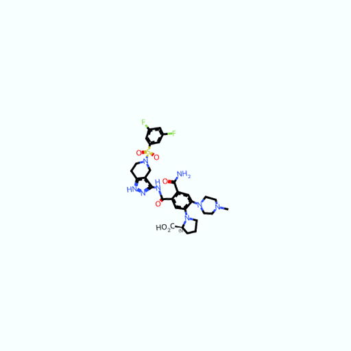 CN1CCN(c2cc(C(N)=O)c(C(=O)Nc3n[nH]c4c3CN(S(=O)(=O)c3cc(F)cc(F)c3)CC4)cc2N2CCC[C@H]2C(=O)O)CC1